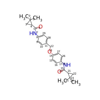 CC1(C)CC1C(=O)Nc1ccc(COc2ccc(NC(=O)C3CC3(C)C)cc2)cc1